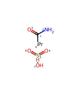 CC(C)C(N)=O.O=[SH](=O)O